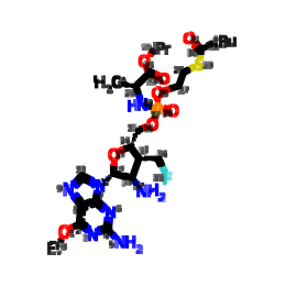 CCOc1nc(N)nc2c1ncn2[C@@H]1O[C@H](COP(=O)(N[C@@H](C)C(=O)OC(C)C)OCCSC(=O)C(C)(C)C)[C@@H](CF)[C@H]1N